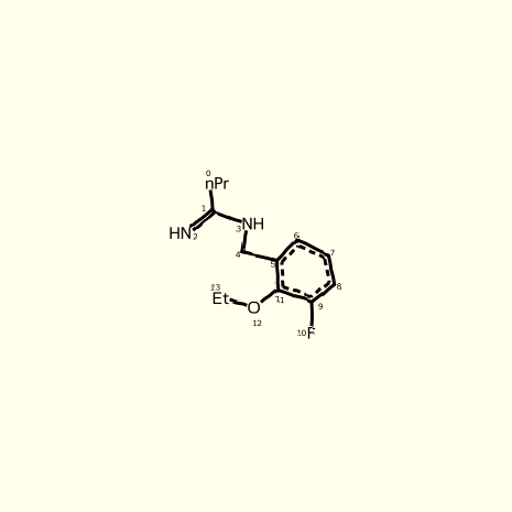 CCCC(=N)NCc1cccc(F)c1OCC